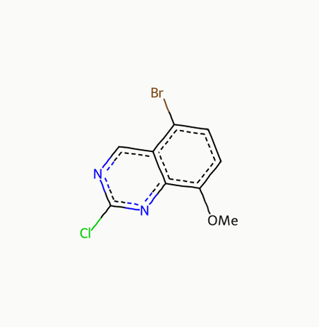 COc1ccc(Br)c2cnc(Cl)nc12